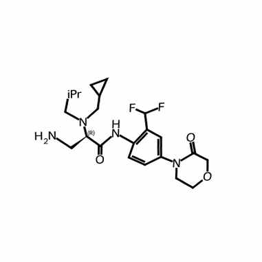 CC(C)CN(CC1CC1)[C@H](CN)C(=O)Nc1ccc(N2CCOCC2=O)cc1C(F)F